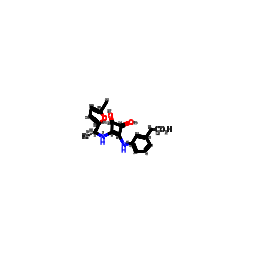 CC[C@@H](Nc1c(Nc2cccc(CC(=O)O)c2)c(=O)c1=O)c1ccc(C)o1